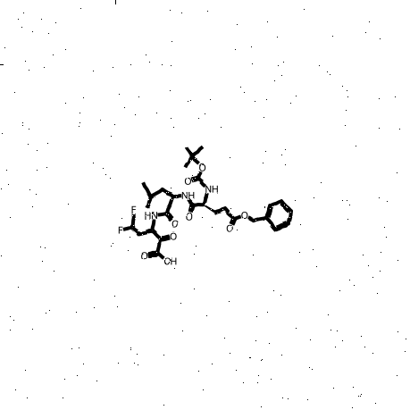 CC(C)CC(NC(=O)[C@H](CCC(=O)OCc1ccccc1)NC(=O)OC(C)(C)C)C(=O)NC(CC(F)F)C(=O)C(=O)O